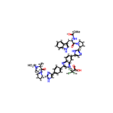 COC(=O)N[C@H](Cc1c[nH]c2ccccc12)C(=O)N1CCC[C@H]1c1ncc(-c2ccc3nc(-c4ccc(-c5c[nH]c([C@@H]6CCCN6C(=O)C(C(C)C)N(C)C(=O)O)n5)cc4)cnc3c2)[nH]1.O=C(O)C(F)(F)F